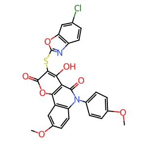 COc1ccc(-n2c(=O)c3c(O)c(Sc4nc5ccc(Cl)cc5o4)c(=O)oc3c3cc(OC)ccc32)cc1